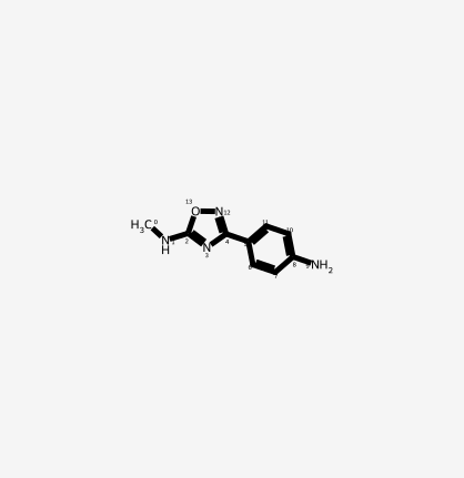 CNc1nc(-c2ccc(N)cc2)no1